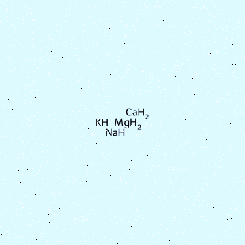 [CaH2].[KH].[MgH2].[NaH]